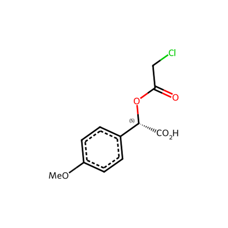 COc1ccc([C@H](OC(=O)CCl)C(=O)O)cc1